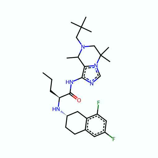 CCC[C@H](N[C@H]1CCc2cc(F)cc(F)c2C1)C(=O)Nc1ncn2c1C(C)N(CC(C)(C)C)CC2(C)C